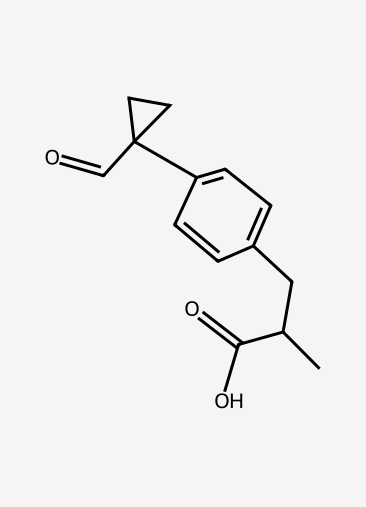 CC(Cc1ccc(C2(C=O)CC2)cc1)C(=O)O